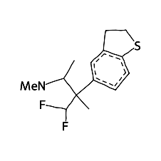 CNC(C)C(C)(c1ccc2c(c1)CCS2)C(F)F